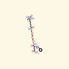 NC(=O)CCC(NOCc1ccccc1)C(=O)NCOCCOCCOCCNC(=O)CCCCC1SCC2NC(=O)NC21